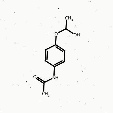 CC(=O)Nc1ccc(OC(C)O)cc1